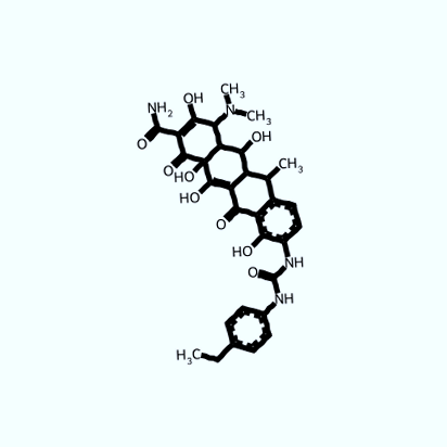 CCc1ccc(NC(=O)Nc2ccc3c(c2O)C(=O)C2=C(O)C4(O)C(=O)C(C(N)=O)=C(O)C(N(C)C)C4C(O)C2C3C)cc1